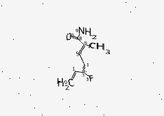 C=C/C(F)=C\C=C(/C)C(N)=O